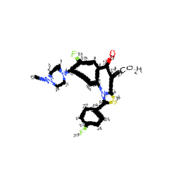 CN1CCN(c2cc3c(cc2F)c(=O)c(C(=O)O)c2n3C(c3ccc(F)cc3)S2)CC1